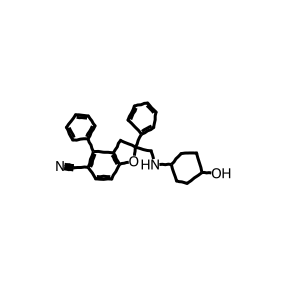 N#Cc1ccc2c(c1-c1ccccc1)CC(CNC1CCC(O)CC1)(c1ccccc1)O2